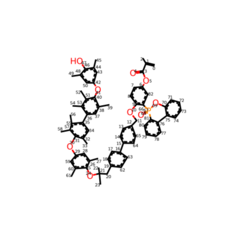 C=C(C)C(=O)Oc1ccc(OCc2ccc(-c3ccc(CC(C)(C)Oc4c(C)cc(Oc5c(C)cc(-c6cc(C)c(Oc7cc(C)c(O)c(C)c7)c(C)c6C)c(C)c5C)cc4C)cc3)cc2)c(P2(=O)Oc3ccccc3-c3ccccc32)c1